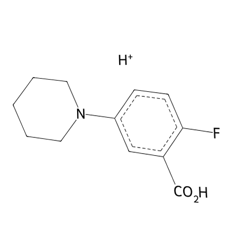 O=C(O)c1cc(N2CCCCC2)ccc1F.[H+]